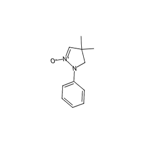 CC1(C)C=[N+]([O-])N(c2ccccc2)C1